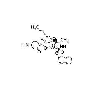 CCCCCCOC(=O)[C@H](C)NP(=O)(OC[C@H]1O[C@@H](n2ccc(N)nc2=O)C(F)(F)C1O)Oc1cccc2ccccc12